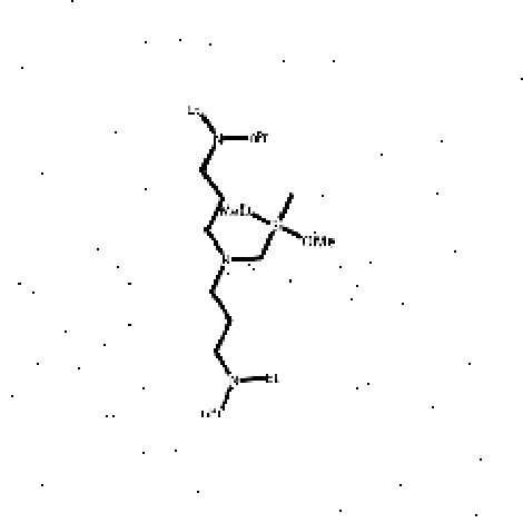 CCCN(CC)CCCN(CCCN(CC)CCC)C[Si](C)(OC)OC